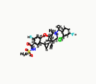 C[C@@H](c1ccc(F)cc1Cl)N1C[C@H]2C[C@@H]1[C@H](Oc1cc(F)c(C(=O)NS(C)(=O)=O)cc1C1CC1)C2